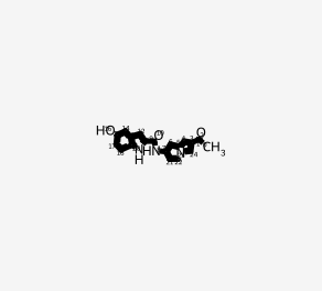 CC(=O)c1cc2cc(NC(=O)c3cc4cc(O)ccc4[nH]3)ccn2c1